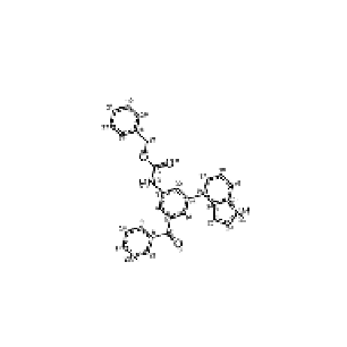 O=C(Nc1cc(C(=O)c2cccnc2)cc(-c2cccc3[nH]ccc23)c1)OCc1ccccc1